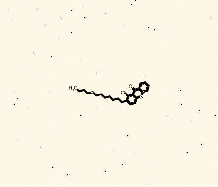 CCCCCCCCCCCCc1ccc2sc3ccccc3c(=O)c2c1Cl